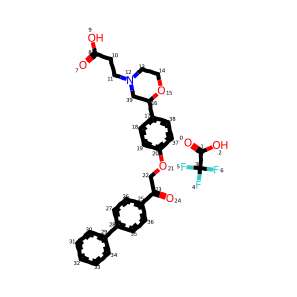 O=C(O)C(F)(F)F.O=C(O)CCN1CCOC(c2ccc(OCC(=O)c3ccc(-c4ccccc4)cc3)cc2)C1